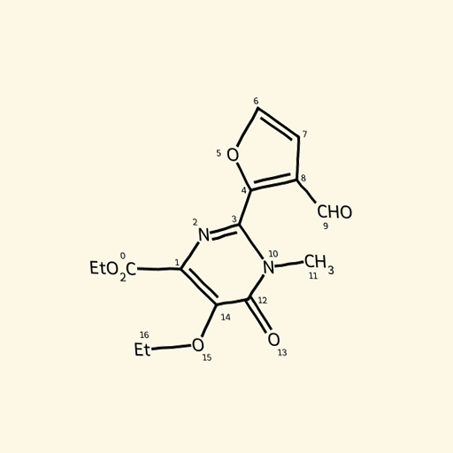 CCOC(=O)c1nc(-c2occc2C=O)n(C)c(=O)c1OCC